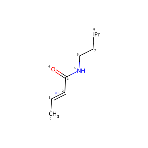 C/C=C/C(=O)NCCC(C)C